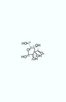 O=C[C@]1(O)[C@@H](O)C(O)O[C@H](CO)[C@@H]1O